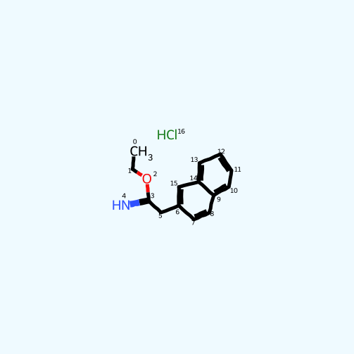 CCOC(=N)Cc1ccc2ccccc2c1.Cl